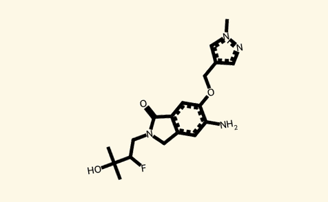 Cn1cc(COc2cc3c(cc2N)CN(CC(F)C(C)(C)O)C3=O)cn1